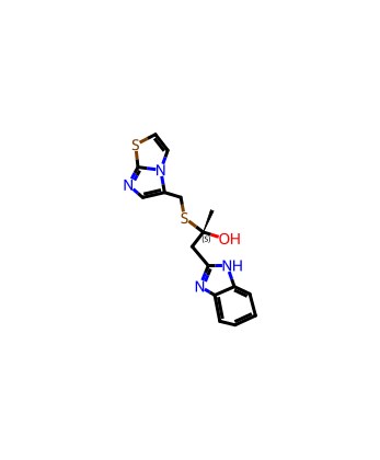 C[C@@](O)(Cc1nc2ccccc2[nH]1)SCc1cnc2sccn12